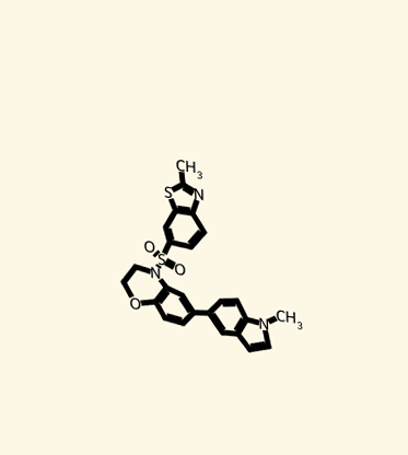 Cc1nc2ccc(S(=O)(=O)N3CCOc4ccc(-c5ccc6c(ccn6C)c5)cc43)cc2s1